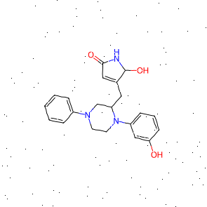 O=C1C=C(CC2CN(c3ccccc3)CCN2c2cccc(O)c2)C(O)N1